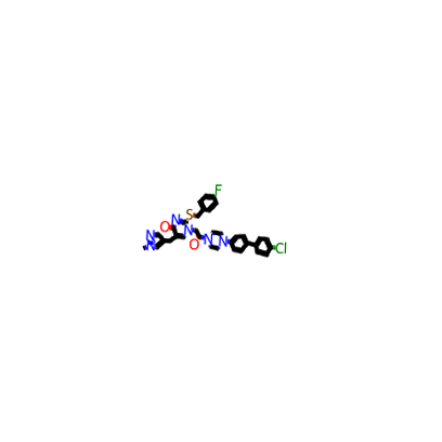 Cn1cc(Cc2cn(CC(=O)N3CCN(c4ccc(-c5ccc(Cl)cc5)cc4)CC3)c(SCc3ccc(F)cc3)nc2=O)cn1